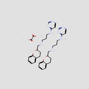 O=C(O)C(=O)O.c1ccc2c(c1)CCC(CNCCCNc1ccncn1)O2.c1ccc2c(c1)CCC(CNCCCNc1ccncn1)O2